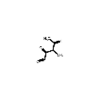 CC(=O)C(C)C(=O)C=O